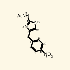 CC(=O)Nc1nc(Cc2ccc([N+](=O)[O-])cc2)cs1